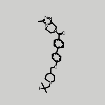 Cc1nnc2n1CCN(C(=O)c1ccc(-c3ccc(OCC4CCN(CC(C)(C)F)CC4)cc3)cc1)C2